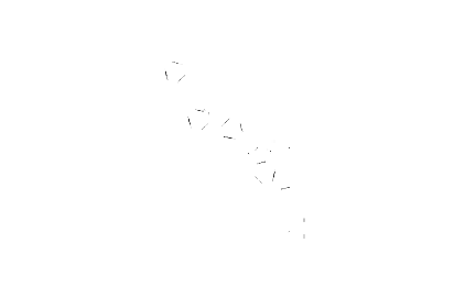 CC1(C)COC[C@H]1n1c(Cc2cc(F)c(-c3cccc(OCc4ccc(Cl)cc4F)n3)cc2F)nc2ccc(C(=O)OCOP(=O)(O)O)cc21